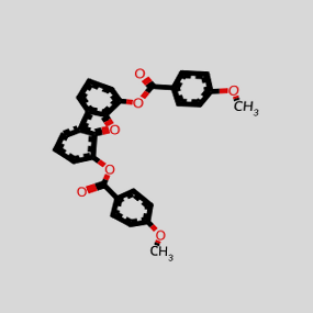 COc1ccc(C(=O)Oc2cccc3c2oc2c(OC(=O)c4ccc(OC)cc4)cccc23)cc1